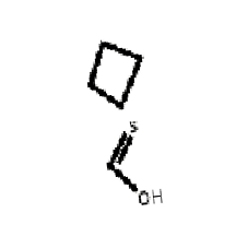 C1CCC1.OC=S